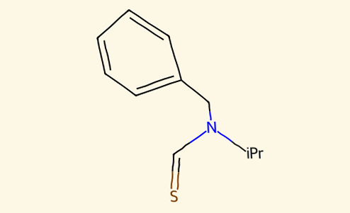 CC(C)N(C=S)Cc1ccccc1